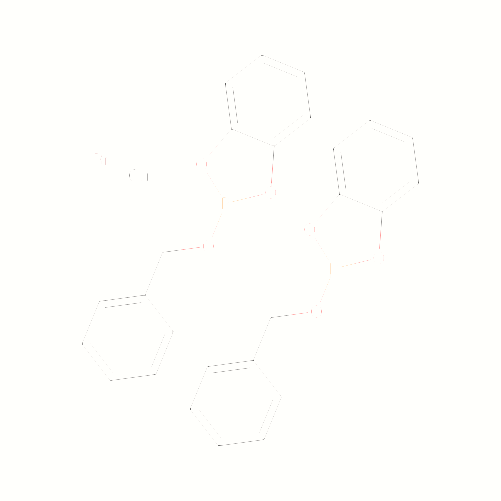 [Br-].[Cu+].c1ccc(COP2Oc3ccccc3O2)cc1.c1ccc(COP2Oc3ccccc3O2)cc1